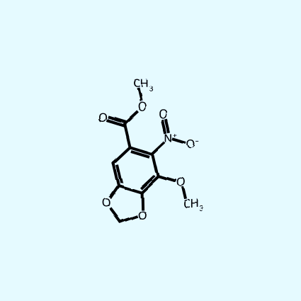 COC(=O)c1cc2c(c(OC)c1[N+](=O)[O-])OCO2